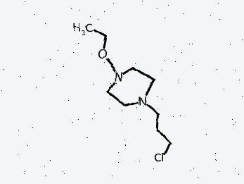 CCON1CCN(CCCCl)CC1